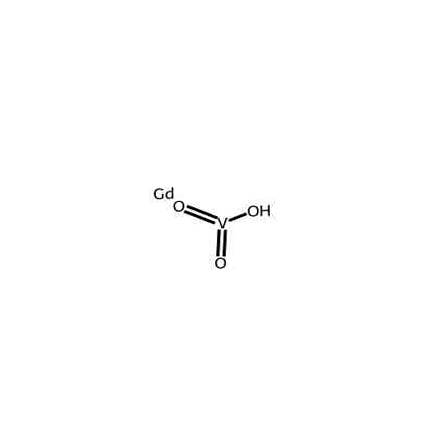 [Gd].[O]=[V](=[O])[OH]